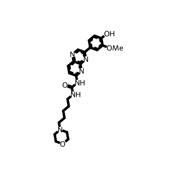 COc1cc(-c2cnc3ccc(NC(=O)NCCCCCN4CCOCC4)nc3n2)ccc1O